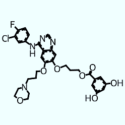 O=C(OCCCOc1cc2ncnc(Nc3ccc(F)c(Cl)c3)c2cc1OCCCN1CCOCC1)c1cc(O)cc(O)c1